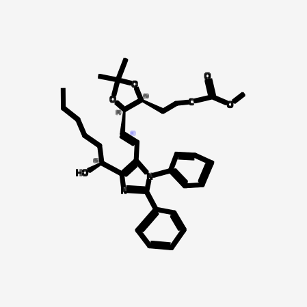 CCCCC[C@H](O)c1nc(-c2ccccc2)n(-c2ccccc2)c1/C=C/[C@H]1OC(C)(C)O[C@H]1CCCC(=O)OC